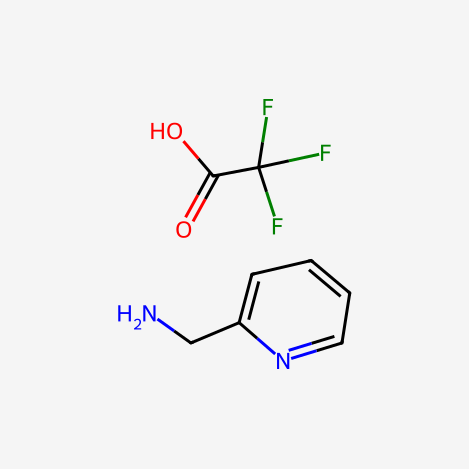 NCc1ccccn1.O=C(O)C(F)(F)F